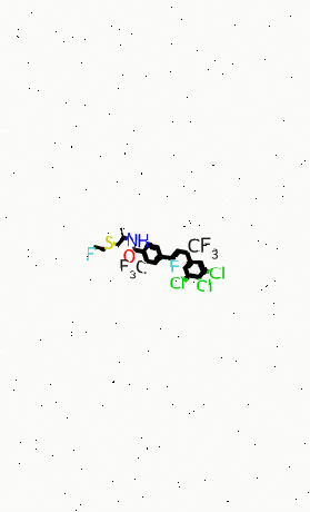 C[C@H](CSCCF)NC(=O)c1ccc(/C(F)=C/C(c2cc(Cl)c(Cl)c(Cl)c2)C(F)(F)F)cc1C(F)(F)F